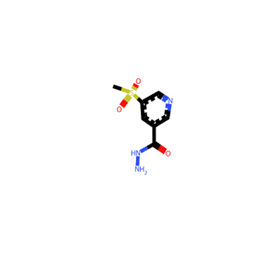 CS(=O)(=O)c1cncc(C(=O)NN)c1